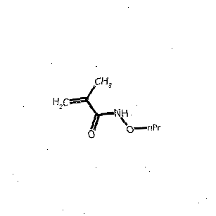 C=C(C)C(=O)NOCCC